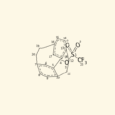 O=S(=O)(OCc1cc2ccc1CCc1ccc(cc1)CC2)C(F)(F)F